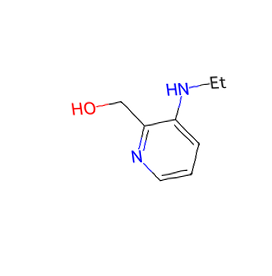 CCNc1cccnc1CO